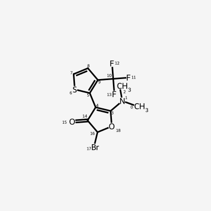 CN(C)C1=C(c2sccc2C(F)(F)F)C(=O)C(Br)O1